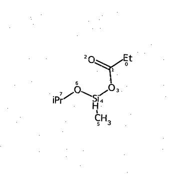 CCC(=O)O[SiH](C)OC(C)C